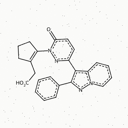 O=C(O)CC1=C(n2nc(-c3c(-c4ccccc4)nn4ccccc34)ccc2=O)CCC1